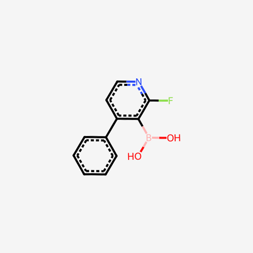 OB(O)c1c(-c2ccccc2)ccnc1F